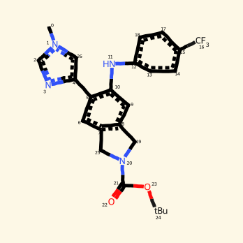 Cn1cnc(-c2cc3c(cc2Nc2ccc(C(F)(F)F)cc2)CN(C(=O)OC(C)(C)C)C3)c1